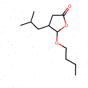 CCCCOC1OC(=O)CC1CC(C)C